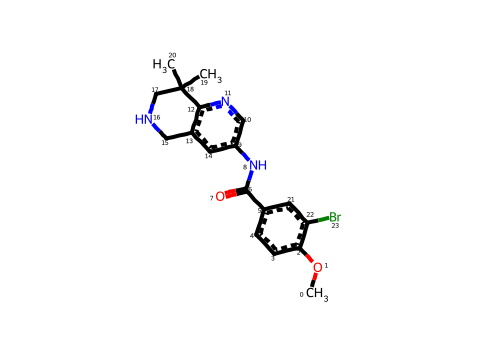 COc1ccc(C(=O)Nc2cnc3c(c2)CNCC3(C)C)cc1Br